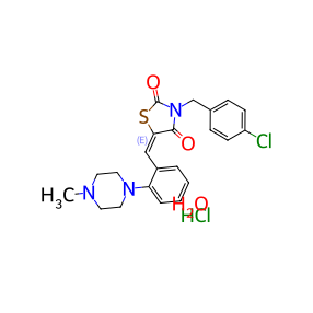 CN1CCN(c2ccccc2/C=C2/SC(=O)N(Cc3ccc(Cl)cc3)C2=O)CC1.Cl.O